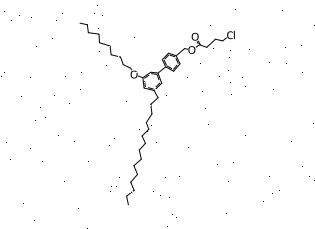 CCCCCCCCCCCCCCCc1cc(OCCCCCCCCCC)cc(-c2ccc(COC(=O)CCCCl)cc2)c1